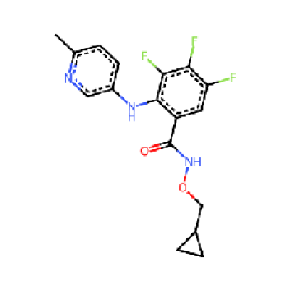 Cc1ccc(Nc2c(C(=O)NOCC3CC3)cc(F)c(F)c2F)cn1